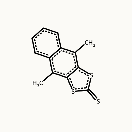 Cc1c2ccccc2c(C)c2sc(=S)sc12